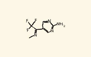 CN=C(c1cnc(N)nc1)C(F)(F)F